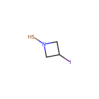 SN1CC(I)C1